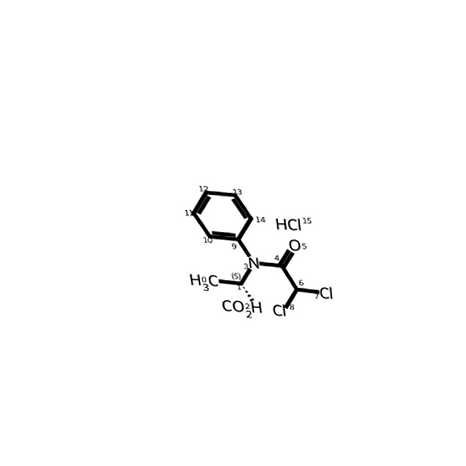 C[C@@H](C(=O)O)N(C(=O)C(Cl)Cl)c1ccccc1.Cl